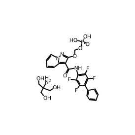 NC(CO)(CO)CO.O=C(Nc1c(F)c(F)c(-c2ccccc2)c(F)c1F)c1c(OCOP(=O)(O)O)nn2ccccc12